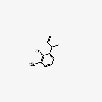 C=C[C](C)c1cccc(C(C)(C)C)c1CC